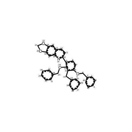 c1ccc(COc2ccc(-c3ccc4cc5c(cc4n3)OCO5)c(OCc3ccccc3)c2Cc2ccccc2)cc1